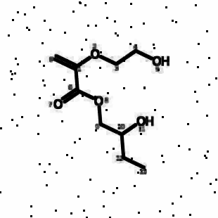 C=C(OCCO)C(=O)OCC(O)CC